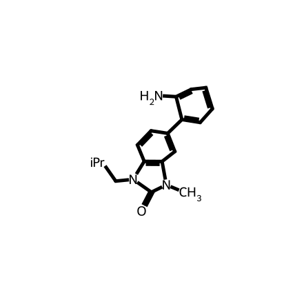 CC(C)Cn1c(=O)n(C)c2cc(-c3ccccc3N)ccc21